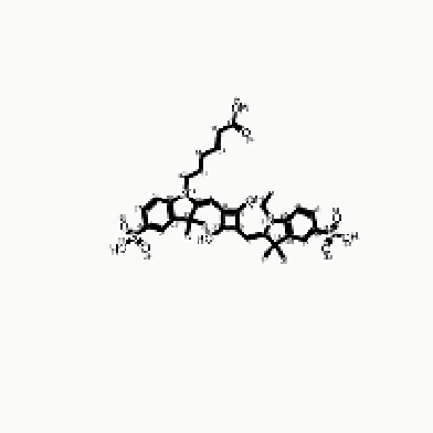 CCN1/C(=C\C2C(O)=C(/C=C3/N(CCCCCC(=O)O)c4ccc(S(=O)(=O)O)cc4C3(C)C)C2O)C(C)(C)c2cc(S(=O)(=O)O)ccc21